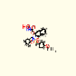 COc1ccc(CS(=O)(=O)N(Cc2ccccc2)c2cc3ccccc3cc2OC(=O)NO)cc1